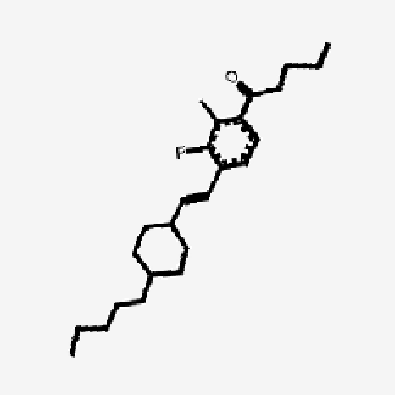 CCCCCC1CCC(/C=C/c2ccc(C(=O)CCCC)c(C)c2F)CC1